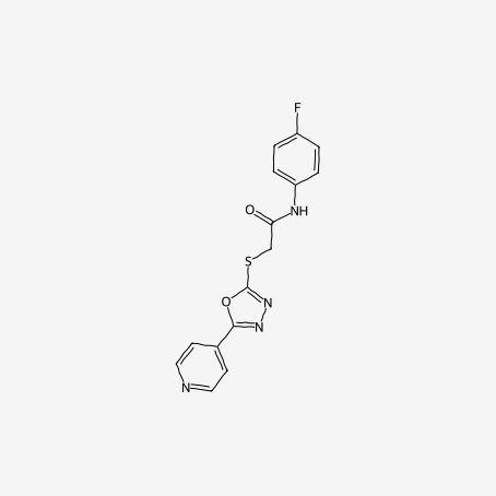 O=C(CSc1nnc(-c2ccncc2)o1)Nc1ccc(F)cc1